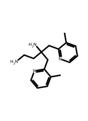 Cc1cccnc1CC(N)(CCN)Cc1ncccc1C